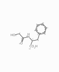 O=C(CO)NC(Cc1ccccc1)C(=O)O